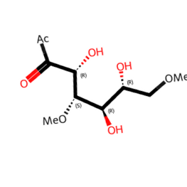 COC[C@@H](O)[C@@H](O)[C@H](OC)[C@@H](O)C(=O)C(C)=O